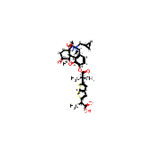 CC(C(=O)O)c1cc2cc(C(C)(C)C(=O)Oc3ccc4c5c3O[C@H]3C(=O)CC[C@@]6(O)[C@@H](C4)N(CC4CC4)CC[C@]536)sc2s1